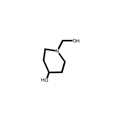 OCN1CCC(O)CC1